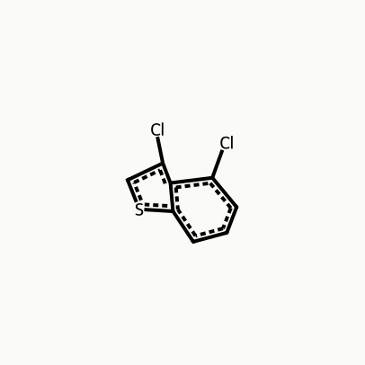 Clc1cccc2scc(Cl)c12